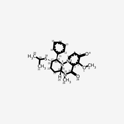 COc1c2n(ccc1=O)N1[C@H](c3ccccc3)[C@@H](SC(C)C)CC[C@H]1N(C)C2=O